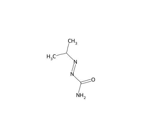 CC(C)N=NC(N)=O